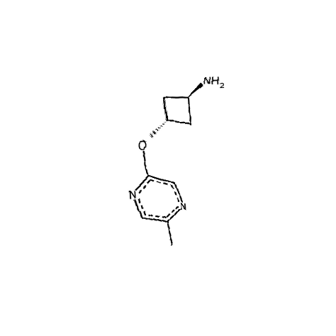 Cc1cnc(O[C@H]2C[C@H](N)C2)cn1